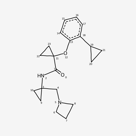 O=C(NC1(CN2CCC2)CC1)C1(Oc2ccccc2C2CC2)CC1